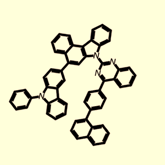 c1ccc(-n2c3ccccc3c3cc(-c4cc5c(c6ccccc46)c4ccccc4n5-c4nc(-c5ccc(-c6cccc7ccccc67)cc5)c5ccccc5n4)ccc32)cc1